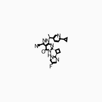 C[C@@H](c1ccc(C2CC2)nc1)n1nc(C#N)c2c(=O)[nH]c([C@@H]3CC[C@H]3c3ncc(F)cn3)nc21